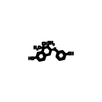 CC1(C)c2cc(O)ccc2C[C@H](Sc2cccc(O)c2)[C@H]1N